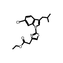 CCOC(=O)Cc1csc(-n2cc(CC(C)C)c3ccc(Cl)cc32)n1